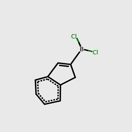 ClB(Cl)C1=Cc2ccccc2C1